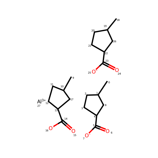 CC1CCC(C(=O)[O-])C1.CC1CCC(C(=O)[O-])C1.CC1CCC(C(=O)[O-])C1.[Al+3]